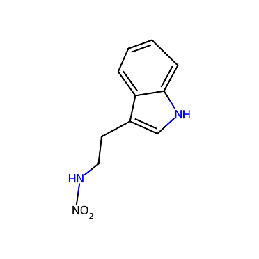 O=[N+]([O-])NCCc1c[nH]c2ccccc12